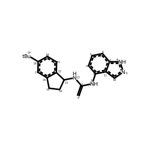 C=C(Nc1cccc2[nH]ncc12)NC1CCc2cc(C(C)(C)C)ccc21